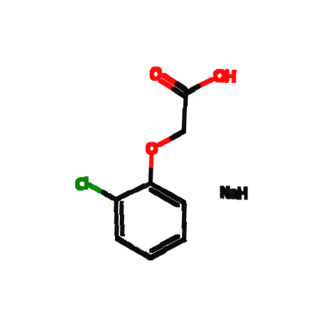 O=C(O)COc1ccccc1Cl.[NaH]